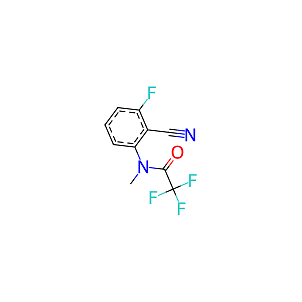 CN(C(=O)C(F)(F)F)c1cccc(F)c1C#N